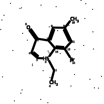 CC[SH]1C=CC(=O)c2cc(C)cc(Br)c21